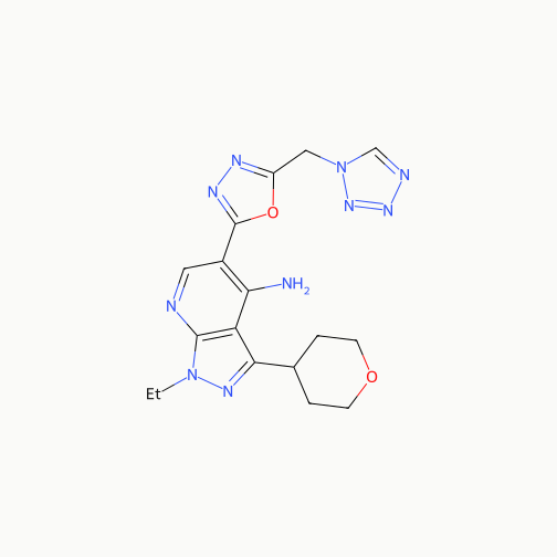 CCn1nc(C2CCOCC2)c2c(N)c(-c3nnc(Cn4cnnn4)o3)cnc21